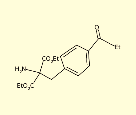 CCOC(=O)C(N)(Cc1ccc(C(=O)CC)cc1)C(=O)OCC